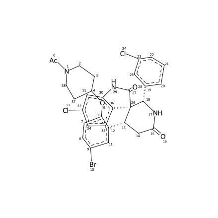 CC(=O)N1CCC(Oc2ccc(Br)cc2[C@H]2CC(=O)N[C@@H](c3cccc(Cl)c3)[C@]23C(=O)Nc2cc(Cl)ccc23)CC1